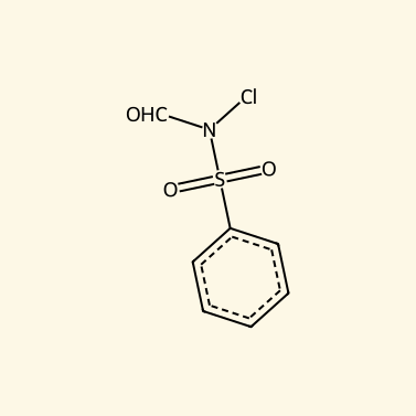 O=CN(Cl)S(=O)(=O)c1ccccc1